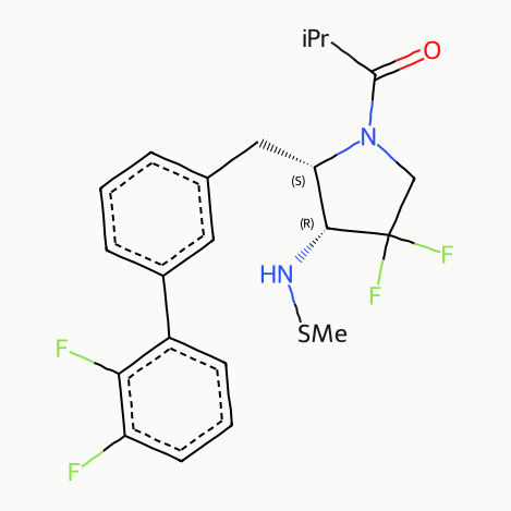 CSN[C@@H]1[C@H](Cc2cccc(-c3cccc(F)c3F)c2)N(C(=O)C(C)C)CC1(F)F